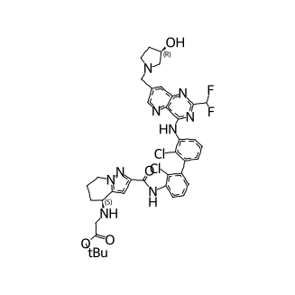 CC(C)(C)OC(=O)CN[C@H]1CCCn2nc(C(=O)Nc3cccc(-c4cccc(Nc5nc(C(F)F)nc6cc(CN7CC[C@@H](O)C7)cnc56)c4Cl)c3Cl)cc21